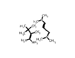 CC(=C(N)N)C(C)(C)C.CN(C)C=CCN(C)C